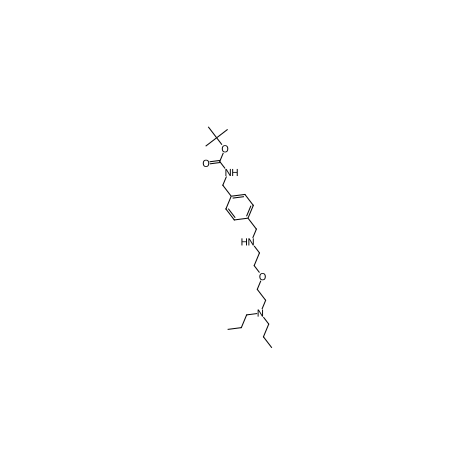 CCCN(CCC)CCOCCNCc1ccc(CNC(=O)OC(C)(C)C)cc1